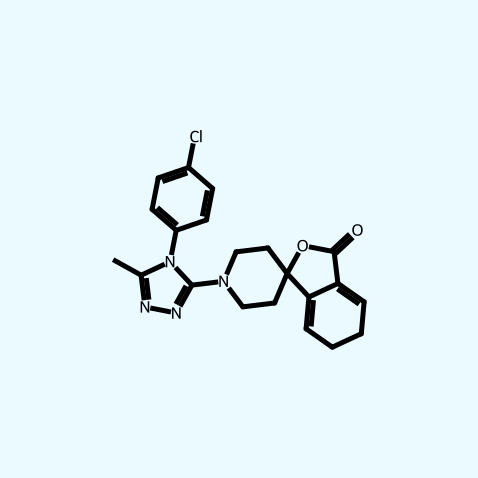 Cc1nnc(N2CCC3(CC2)OC(=O)C2=CCCC=C23)n1-c1ccc(Cl)cc1